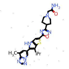 Cc1cc(-c2[nH]c3cc(-c4nc(C5CCN(CC(N)=O)CC5)no4)sc3c2C(C)C)cn2ncnc12